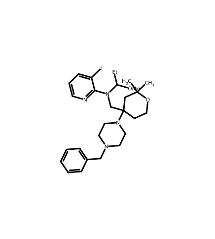 CCC(OC)N(CC1(N2CCN(Cc3ccccc3)CC2)CCOC(C)(C)C1)c1ncccc1I